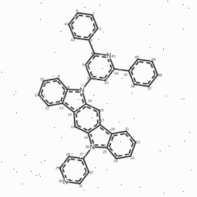 c1ccc(-c2cc(-n3c4ccccc4c4cc5c(cc43)c3ccccc3n5-c3ccncc3)cc(-c3ccccc3)n2)cc1